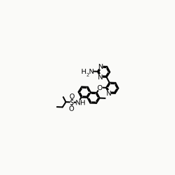 CCC(C)S(=O)(=O)Nc1cccc2c(Oc3ncccc3-c3ccnc(N)n3)c(C)ccc12